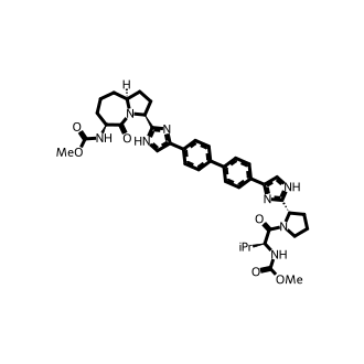 COC(=O)N[C@H]1CCC[C@H]2CC[C@@H](c3nc(-c4ccc(-c5ccc(-c6c[nH]c([C@@H]7CCCN7C(=O)[C@@H](NC(=O)OC)C(C)C)n6)cc5)cc4)c[nH]3)N2C1=O